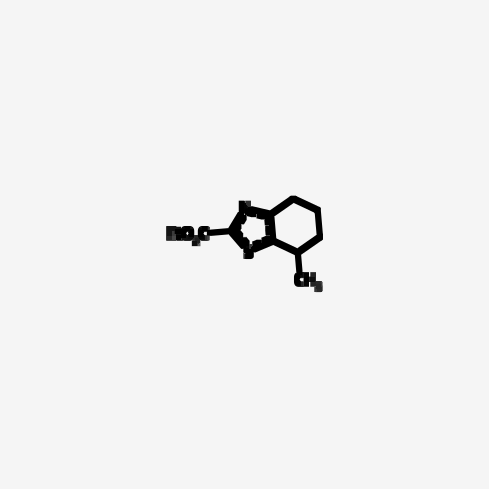 CCOC(=O)c1nc2c(s1)C(C)CCC2